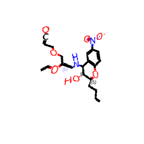 CCCC[C@@H]1Oc2ccc([N+](=O)[O-])cc2C(N/C=C(\COCC=C=O)OCC)[C@H]1O